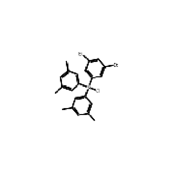 CCc1cc(CC)cc([Si](Cl)(c2cc(C)cc(C)c2)c2cc(C)cc(C)c2)c1